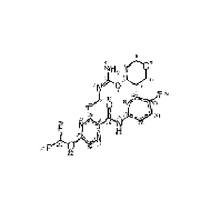 N/C(=N/CF)O[C@@H]1CCOC[C@@H]1c1cc(NC(=O)c2cnc(OC(F)F)cn2)ccc1F